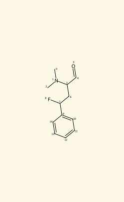 CN(C)C(C=O)CC(F)c1ccccc1